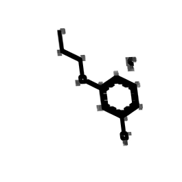 CCCOc1cccc([O-])c1.[K+]